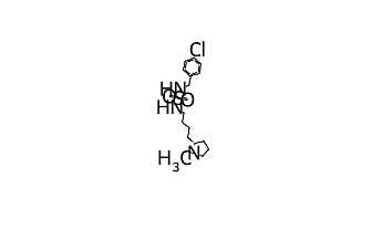 CN1CCC[C@@H]1CCCCNS(=O)(=O)NCc1ccc(Cl)cc1